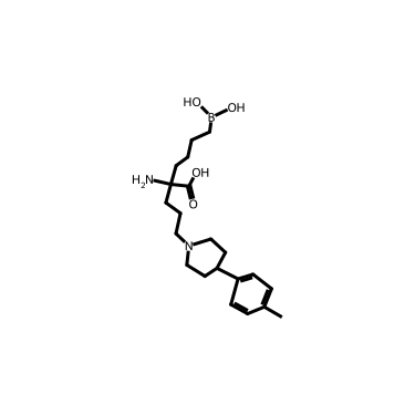 Cc1ccc(C2CCN(CCCC(N)(CCCCB(O)O)C(=O)O)CC2)cc1